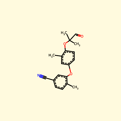 Cc1ccc(C#N)cc1Oc1ccc(OC(C)(C)C=O)c(C)c1